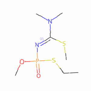 CCSP(=O)(/N=C(\SC)N(C)C)OC